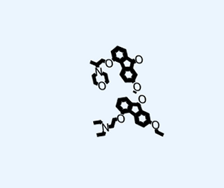 CCOc1ccc2c(c1)C(=O)c1cccc(OCCN(CC)CC)c1-2.COc1ccc2c(c1)C(=O)c1cccc(OCC(C)N3CCOCC3)c1-2